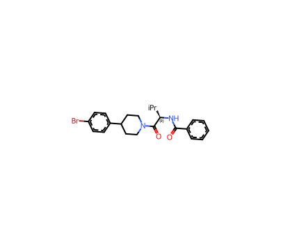 CC(C)[C@@H](NC(=O)c1ccccc1)C(=O)N1CCC(c2ccc(Br)cc2)CC1